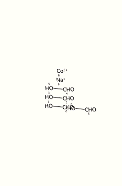 O=[C-]O.O=[C-]O.O=[C-]O.O=[C-]O.[Co+3].[Na+]